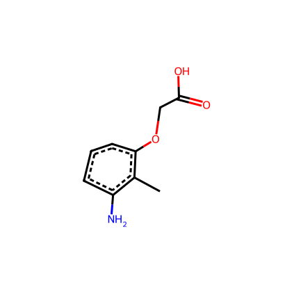 Cc1c(N)cccc1OCC(=O)O